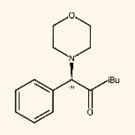 CCC(C)C(=O)[C@@H](c1ccccc1)N1CCOCC1